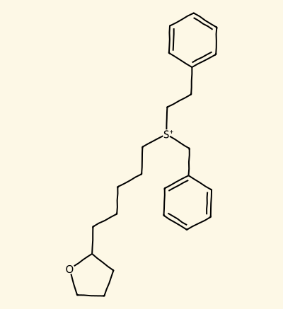 c1ccc(CC[S+](CCCCCC2CCCO2)Cc2ccccc2)cc1